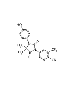 CC1(C)C(=O)N(c2cnc(C#N)c(C(F)(F)F)c2)C(=S)N1c1ccc(O)cc1